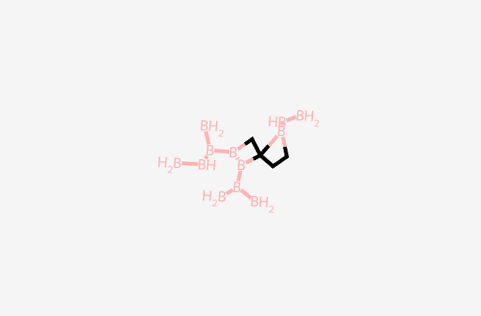 BBB(B)B1CC2(CCB2BB)B1B(B)B